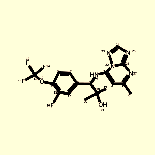 Cc1cc(NC(c2ccc(OC(F)(F)F)c(F)c2)C(C)(C)O)n2ncnc2n1